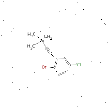 C[Si](C)(C)C#Cc1cc(Cl)ccc1Br